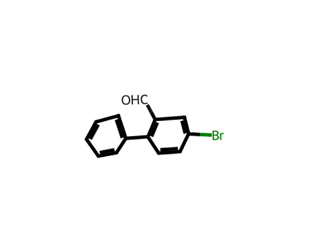 O=Cc1cc(Br)ccc1-c1ccccc1